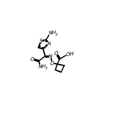 NC(=O)C(=NOC1(C(=O)O)CCC1)c1csc(N)n1